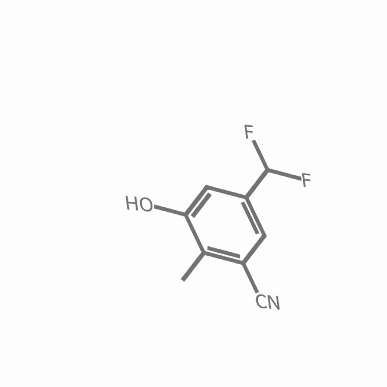 Cc1c(O)cc(C(F)F)cc1C#N